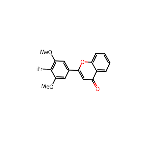 COc1cc(-c2cc(=O)c3ccccc3o2)cc(OC)c1C(C)C